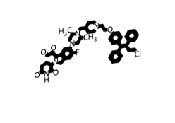 CC1CN(c2cc3c(cc2F)CN(C2CCC(=O)NC2=O)C3C(=O)C=O)CC(C)N1CC1CCN(CCOc2ccc(C(=C(CCCl)c3ccccc3)c3ccccc3)cc2)CC1